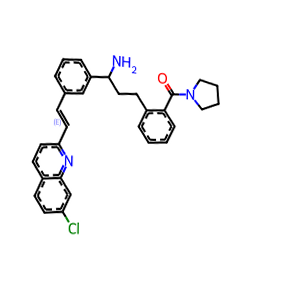 NC(CCc1ccccc1C(=O)N1CCCC1)c1cccc(/C=C/c2ccc3ccc(Cl)cc3n2)c1